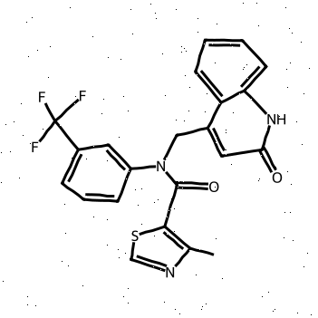 Cc1ncsc1C(=O)N(Cc1cc(=O)[nH]c2ccccc12)c1cccc(C(F)(F)F)c1